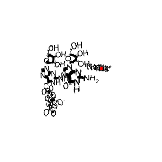 Nc1nc2c(ncn2[C@@H]2O[C@H](CO)[C@@H](O)[C@H]2O)c(=O)[nH]1.Nc1nc2c(ncn2[C@@H]2O[C@H](CO)[C@@H](O)[C@H]2O)c(=O)[nH]1.O=P([O-])([O-])OP(=O)([O-])OP(=O)([O-])[O-].[Na+].[Na+].[Na+].[Na+].[Na+]